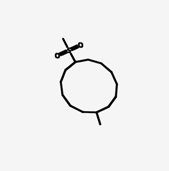 CC1CCCCCCC(S(C)(=O)=O)CCCCC1